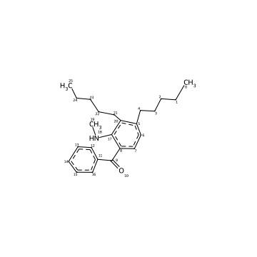 CCCCCc1ccc(C(=O)c2ccccc2)c(NC)c1CCCCC